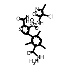 Cc1cc(C)c(-c2csc(C(N)=O)c2S(=O)(=O)Nc2onc(C)c2Cl)c(C)c1C(=O)NN